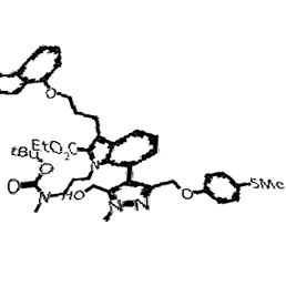 CCOC(=O)c1c(CCCOc2cccc3ccccc23)c2cccc(-c3c(COc4ccc(SC)cc4)nn(C)c3CO)c2n1CCCN(C)C(=O)OC(C)(C)C